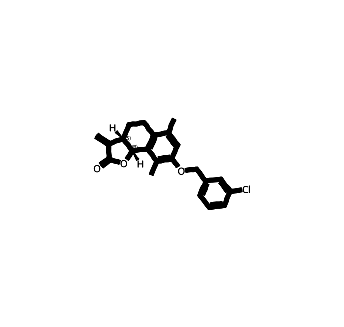 C=C1C(=O)O[C@H]2c3c(C)c(OCc4cccc(Cl)c4)cc(C)c3CC[C@@H]12